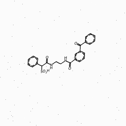 O=C(NCCNC(=O)C(c1ccccc1)S(=O)(=O)O)c1cccc(C(=O)c2ccccc2)c1